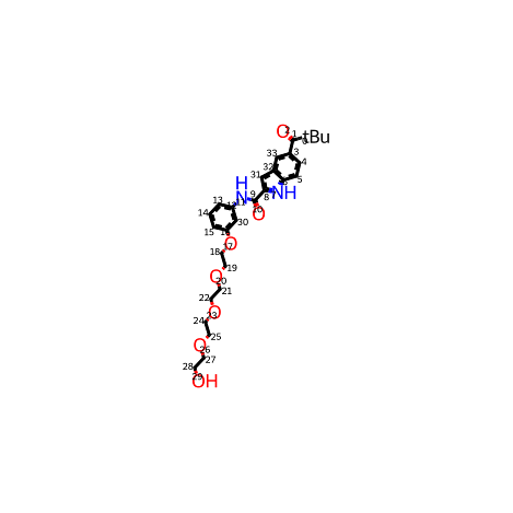 CC(C)(C)C(=O)c1ccc2[nH]c(C(=O)Nc3cccc(OCCOCCOCCOCCO)c3)cc2c1